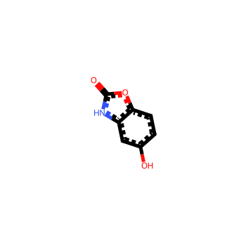 O=c1[nH]c2cc(O)ccc2o1